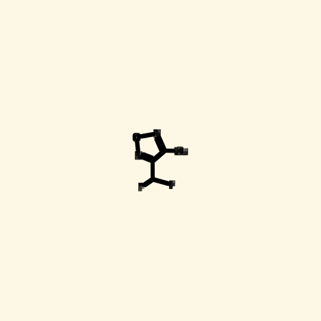 CC(C)(C)c1nonc1C(F)F